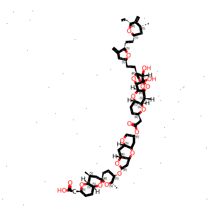 C=C1C[C@H](CC[C@]23OC4[C@@H]5O[C@H]6CC[C@H](CC(=O)O[C@H]7CO[C@H]8C[C@H]9O[C@@H](O[C@H]%10CC[C@@]%11(C[C@H](C)[C@@H]%12O[C@H](CC(=O)O)CC[C@@H]%12O%11)O[C@H]%10C)CC9OC8C7)O[C@@H]6[C@H](O2)C5OC4(O)[C@H]3O)O[C@H]1CC[C@H]1C[C@@H](C)C(=C)[C@@H](CC)O1